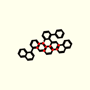 c1ccc(-c2ccccc2-c2c(-c3ccccc3)cccc2N(c2cccc(-c3ccc4ccccc4c3)c2)c2cccc(-c3cccc4ccccc34)c2)cc1